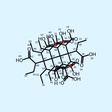 CCC(C(=O)O)C(C)C(C(CC)C(=O)O)(C(CC)C(=O)O)C(C(CC)C(=O)O)(C(CC)C(=O)O)C(C(CC)C(=O)O)(C(CC)C(=O)O)C(C(CC)C(=O)O)(C(CC)C(=O)O)C(CC)C(=O)O